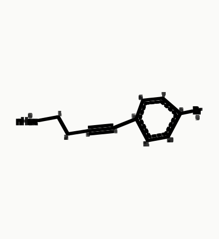 CCCCCCCCC#Cc1ccc(Br)cc1